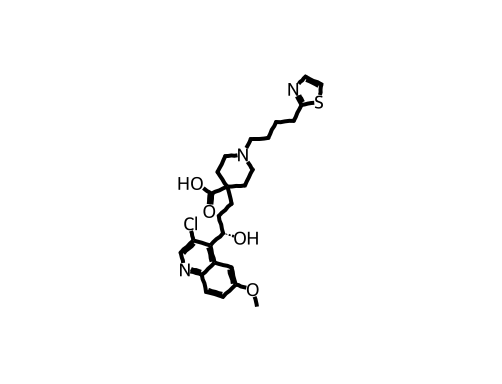 COc1ccc2ncc(Cl)c([C@@H](O)CCC3(C(=O)O)CCN(CCCCc4nccs4)CC3)c2c1